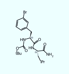 CC(C)C[C@H](NC(=O)[C@H](Cc1cccc(Br)c1)NC(=O)OC(C)(C)C)C(N)=O